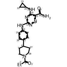 CCC(=O)N1CCC(c2ccc(Nc3nnc(C(N)=O)c(NC4CC4)n3)cc2)CC1